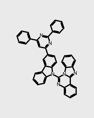 c1ccc(-c2cc(-c3ccc4c(c3)c3ccccc3n4-c3nc4ccccc4c4nc5ccccc5n34)nc(-c3ccccc3)n2)cc1